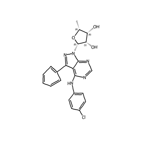 C[C@H]1O[C@@H](n2nc(-c3ccccc3)c3c(Nc4ccc(Cl)cc4)ncnc32)[C@@H](O)[C@H]1O